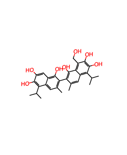 Cc1cc2c(C(C)C)c(O)c(O)cc2c(O)c1-c1c(C)cc2c(C(C)C)c(O)c(O)c(CO)c2c1O